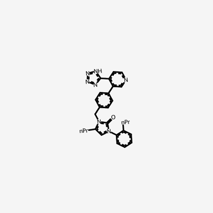 CCCc1ccccc1-n1cc(CCC)n(Cc2ccc(-c3cnccc3-c3nnn[nH]3)cc2)c1=O